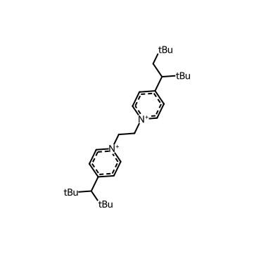 CC(C)(C)CC(c1cc[n+](CC[n+]2ccc(C(C(C)(C)C)C(C)(C)C)cc2)cc1)C(C)(C)C